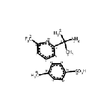 CC(C)(N)c1cccc(C(F)(F)F)n1.Cc1ccc(S(=O)(=O)O)cc1